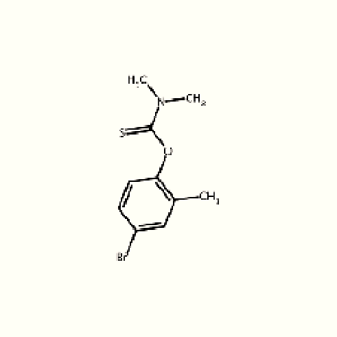 Cc1cc(Br)ccc1OC(=S)N(C)C